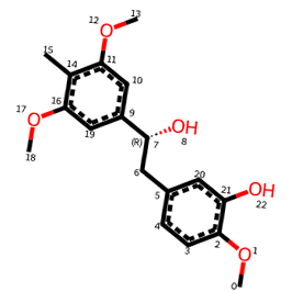 COc1ccc(C[C@@H](O)c2cc(OC)c(C)c(OC)c2)cc1O